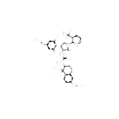 COc1cc(F)c([C@@H]2CN(c3ncccc3C(F)(F)F)C(=O)[C@H]2NC(=O)NC2CCc3cc(OC)ccc3C2(C)C)c(F)c1